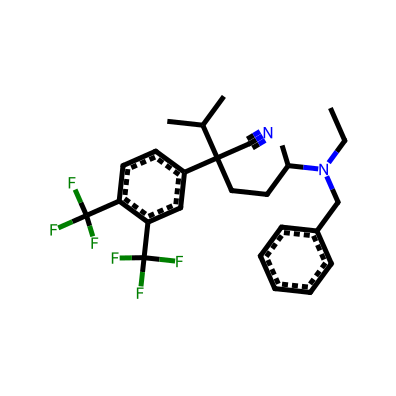 CCN(Cc1ccccc1)C(C)CCC(C#N)(c1ccc(C(F)(F)F)c(C(F)(F)F)c1)C(C)C